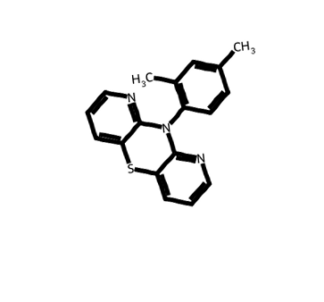 Cc1ccc(N2c3ncccc3Sc3cccnc32)c(C)c1